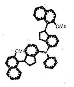 COc1ccc2ccccc2c1C1CCc2c1cccc2P(c1ccccc1)c1cccc2c1CCC2c1c(OC)ccc2ccccc12